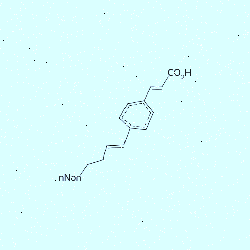 CCCCCCCCCCCC=Cc1ccc(C=CC(=O)O)cc1